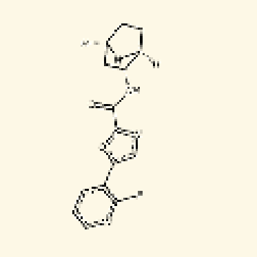 O=C(N[C@@H]1C[C@H]2CC[C@@H]1N2)c1ncc(-c2cccnc2F)o1